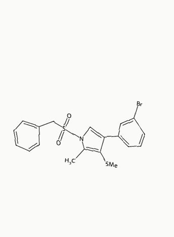 CSc1c(-c2cccc(Br)c2)cn(S(=O)(=O)Cc2ccccc2)c1C